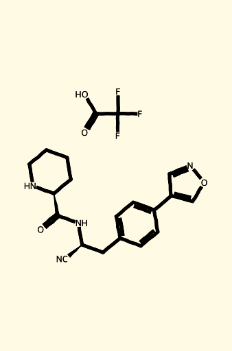 N#C[C@H](Cc1ccc(-c2cnoc2)cc1)NC(=O)[C@@H]1CCCCN1.O=C(O)C(F)(F)F